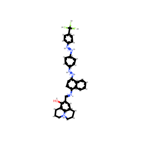 Oc1c(/C=N/c2ccc(/N=N/c3ccc(/N=N/c4ccc(C(F)(F)F)cc4)cc3)c3ccccc23)cc2c3c1CCCN3CCC2